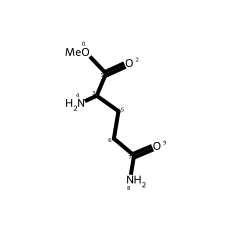 COC(=O)C(N)CCC(N)=O